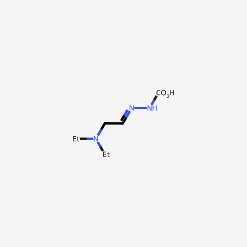 CCN(CC)CC=NNC(=O)O